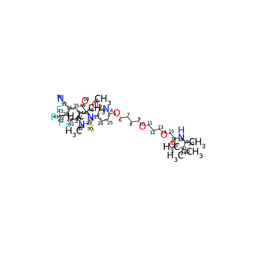 COc1nc(OCCCCOCCCOCC(=O)NC(C)C(C)(C)C)ccc1N(C(=S)N(C)c1ccc(C#N)c(C(F)(F)F)c1F)C(C)(C)C=O